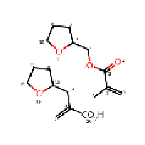 C=C(C)C(=O)OCC1CCCO1.C=C(CC1CCCO1)C(=O)O